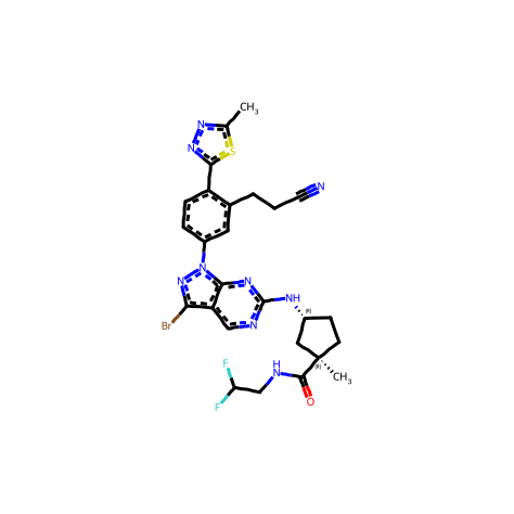 Cc1nnc(-c2ccc(-n3nc(Br)c4cnc(N[C@@H]5CC[C@@](C)(C(=O)NCC(F)F)C5)nc43)cc2CCC#N)s1